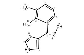 Cc1cccc(Cc2c[nH]cn2)c1C.O=S(=O)(O)O